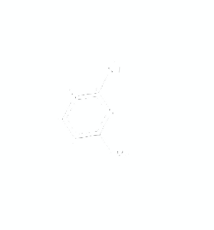 CSc1ccnc(N)n1